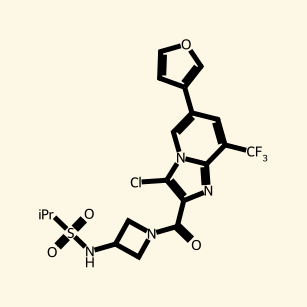 CC(C)S(=O)(=O)NC1CN(C(=O)c2nc3c(C(F)(F)F)cc(-c4ccoc4)cn3c2Cl)C1